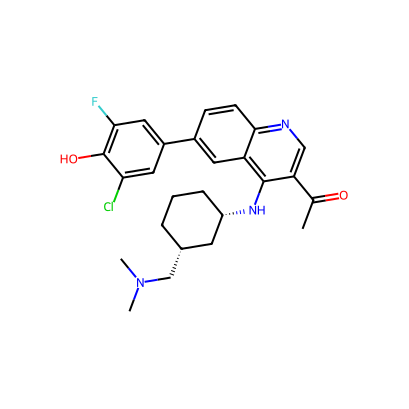 CC(=O)c1cnc2ccc(-c3cc(F)c(O)c(Cl)c3)cc2c1N[C@H]1CCC[C@@H](CN(C)C)C1